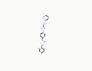 CCc1cc(Cl)cc(C)c1C(=O)NC(Cc1ccc(N2CC(CNc3ccccn3)C2)cc1)C(=O)O